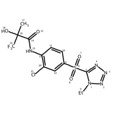 CCn1nnnc1S(=O)(=O)c1ccc(NC(=O)C(C)(O)C(F)(F)F)c(Cl)c1